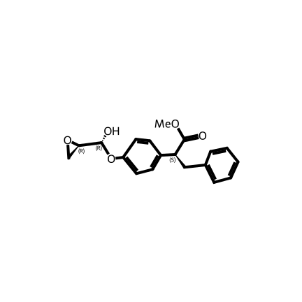 COC(=O)[C@@H](Cc1ccccc1)c1ccc(O[C@@H](O)[C@H]2CO2)cc1